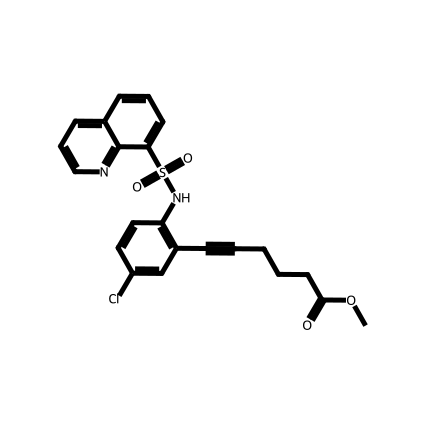 COC(=O)CCCC#Cc1cc(Cl)ccc1NS(=O)(=O)c1cccc2cccnc12